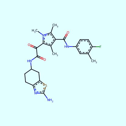 Cc1cc(NC(=O)c2c(C)c(C(=O)C(=O)NC3CCc4nc(N)sc4C3)n(C)c2C)ccc1F